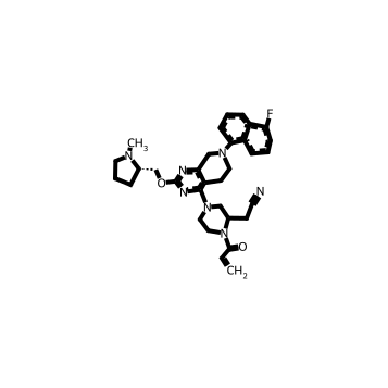 C=CC(=O)N1CCN(c2nc(OC[C@@H]3CCCN3C)nc3c2CCN(c2cccc4c(F)cccc24)C3)CC1CC#N